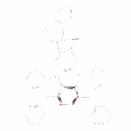 CC(C)c1cccc(C(C)C)c1N1C(=O)c2cc(N3c4ccccc4N(c4ccccc4)c4ccccc43)c(N3c4ccccc4N(c4ccccc4)c4ccccc43)cc2C1=O